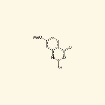 COc1ccc2c(=O)oc(S)nc2c1